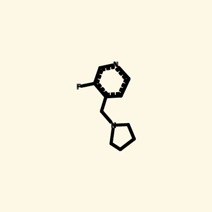 Fc1cnccc1CN1CCCC1